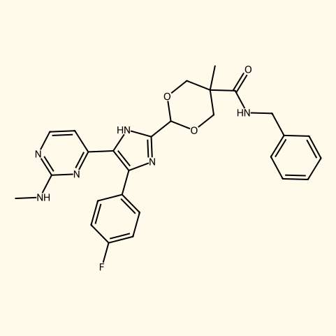 CNc1nccc(-c2[nH]c(C3OCC(C)(C(=O)NCc4ccccc4)CO3)nc2-c2ccc(F)cc2)n1